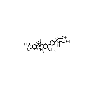 Cc1cc(S(=O)(=O)Nc2ccc(C)c(-c3ccc(C(=O)NC(CO)C(=O)O)cc3)c2)c(C)cc1Cl